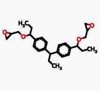 CCC(OCC1CO1)c1ccc(C(CC)c2ccc(C(CC)OCC3CO3)cc2)cc1